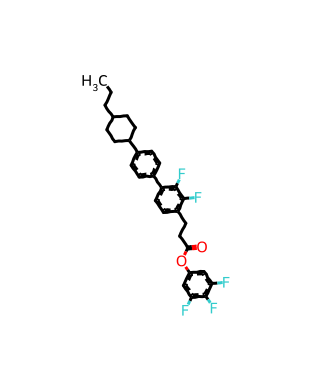 CCCC1CCC(c2ccc(-c3ccc(CCC(=O)Oc4cc(F)c(F)c(F)c4)c(F)c3F)cc2)CC1